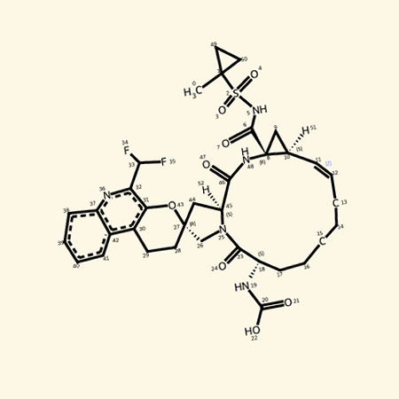 CC1(S(=O)(=O)NC(=O)[C@@]23C[C@H]2/C=C\CCCCC[C@H](NC(=O)O)C(=O)N2C[C@@]4(CCc5c(c(C(F)F)nc6ccccc56)O4)C[C@H]2C(=O)N3)CC1